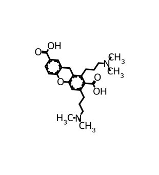 CN(C)CCCc1cc2c(c(CCCN(C)C)c1C(=O)O)Cc1cc(C(=O)O)ccc1O2